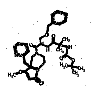 COC1=CC(=O)N2CCN(C(=O)[C@@H](COCc3ccccc3)NC(=O)C(C)(C)NC(=O)OC(C)(C)C)CC12Cc1ccccn1